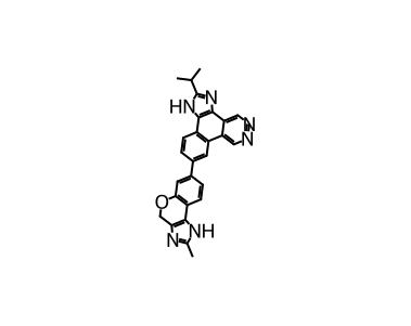 Cc1nc2c([nH]1)-c1ccc(-c3ccc4c(c3)c3cnncc3c3nc(C(C)C)[nH]c43)cc1OC2